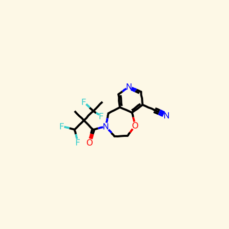 CC(F)(F)C(C)(C(=O)N1CCOc2c(C#N)cncc2C1)C(F)F